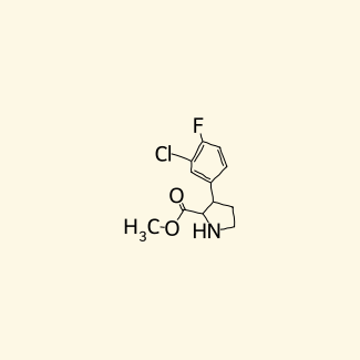 COC(=O)C1NCCC1c1ccc(F)c(Cl)c1